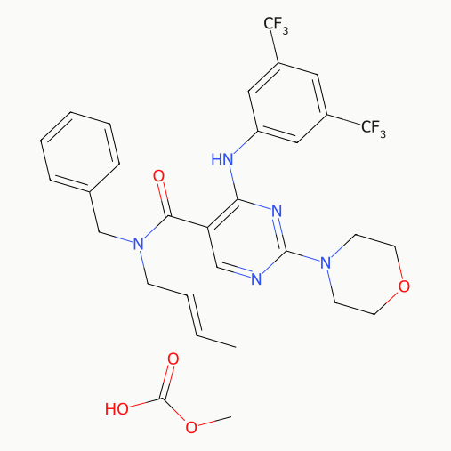 C/C=C/CN(Cc1ccccc1)C(=O)c1cnc(N2CCOCC2)nc1Nc1cc(C(F)(F)F)cc(C(F)(F)F)c1.COC(=O)O